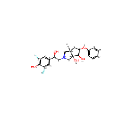 Oc1c(F)cc([C@@H](O)CN2C[C@@H]3C[C@@H](Oc4ccccc4)[C@@H](O)[C@]3(O)C2)cc1F